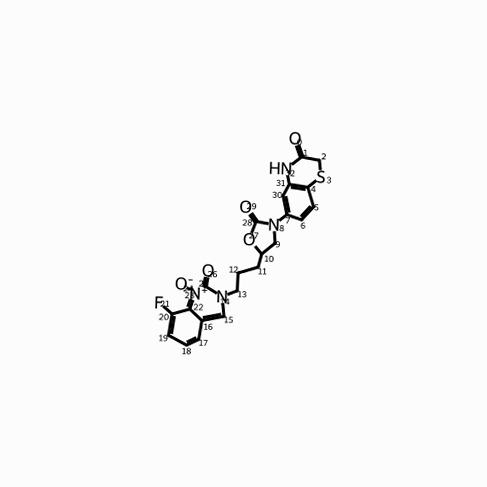 O=C1CSc2ccc(N3CC(CCCn4cc5cccc(F)c5[n+]([O-])c4=O)OC3=O)cc2N1